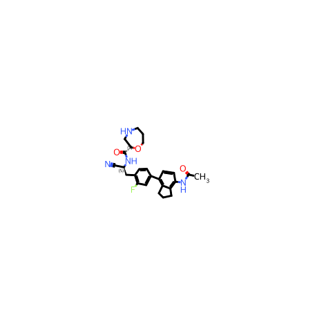 CC(=O)Nc1ccc(-c2ccc(C[C@@H](C#N)NC(=O)[C@@H]3CNCCCO3)c(F)c2)c2c1CCC2